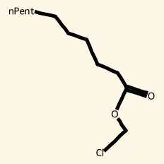 CCCCCCCCCCC(=O)OCCl